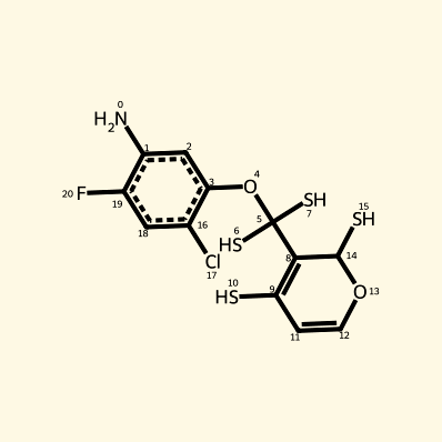 Nc1cc(OC(S)(S)C2=C(S)C=COC2S)c(Cl)cc1F